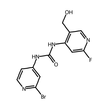 O=C(Nc1ccnc(Br)c1)Nc1cc(F)ncc1CO